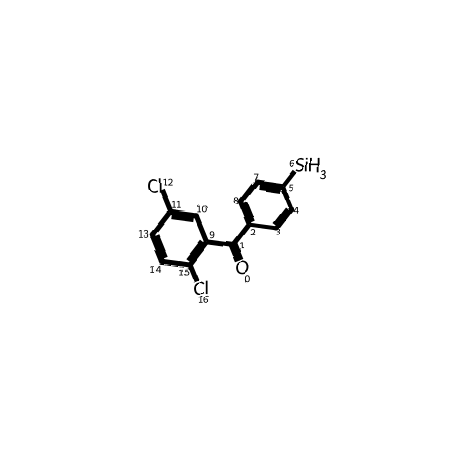 O=C(c1ccc([SiH3])cc1)c1cc(Cl)ccc1Cl